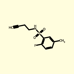 C#CCCNS(=O)(=O)c1cc(C)ccc1F